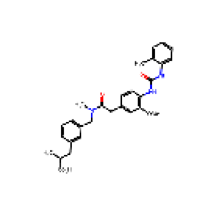 COc1cc(CC(=O)N(C)Cc2cccc(CC(C)C(=O)O)c2)ccc1NC(=O)Nc1ccccc1C